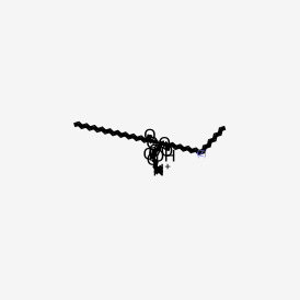 CCCCCCCC/C=C\CCCCCCCC(=O)O[C@H](COC(=O)CCCCCCCCCCCCCCCCCCC)COP(=O)(O)OCC[N+](C)(C)C